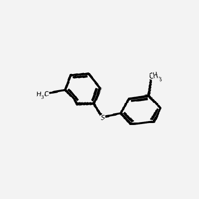 Cc1cccc(Sc2cccc(C)c2)c1